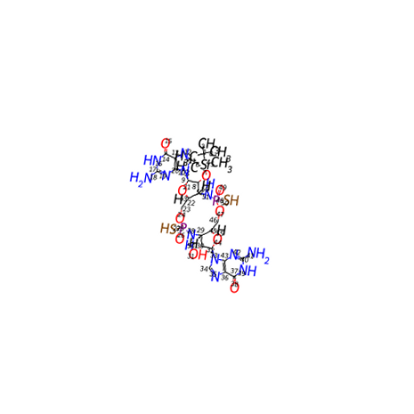 CC(C)(C)[Si](C)(C)OC1[C@H](n2cnc3c(=O)[nH]c(N)nc32)O[C@@H]2COP(=O)(S)N[C@H]3[C@@H](O)[C@H](n4cnc5c(=O)[nH]c(N)nc54)O[C@@H]3COP(=O)(S)N[C@@H]12